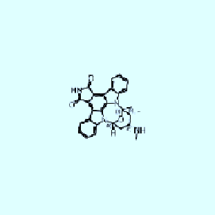 CN[C@@H]1C[C@H]2O[C@@](C)([C@@H]1C)n1c3ccccc3c3c4c(c5c6ccccc6n2c5c31)C(=O)NC4=O